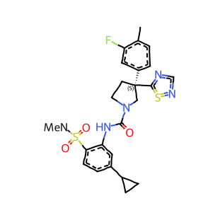 CNS(=O)(=O)c1ccc(C2CC2)cc1NC(=O)N1CC[C@@](c2ccc(C)c(F)c2)(c2ncns2)C1